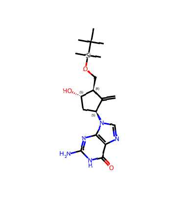 C=C1[C@H](CO[Si](C)(C)C(C)(C)C)[C@@H](O)C[C@@H]1n1cnc2c(=O)[nH]c(N)nc21